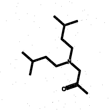 CC(=O)CN(CCC(C)C)CCC(C)C